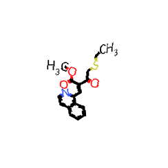 CCSCC(=O)C(=Cc1nccc2ccccc12)C(=O)OC